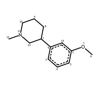 COc1cccc(C2CCCN(C)C2)c1